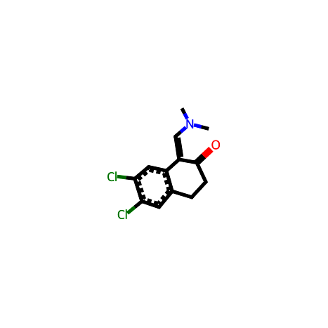 CN(C)/C=C1\C(=O)CCc2cc(Cl)c(Cl)cc21